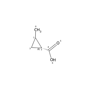 CC1C[C@H]1C(=O)O